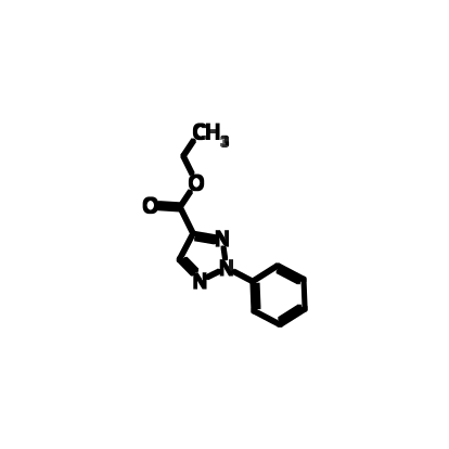 CCOC(=O)c1cnn(-c2ccccc2)n1